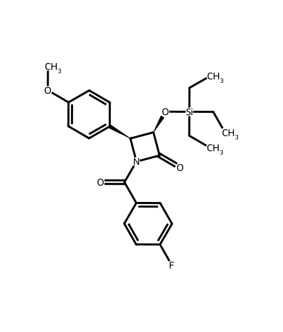 CC[Si](CC)(CC)O[C@H]1C(=O)N(C(=O)c2ccc(F)cc2)[C@H]1c1ccc(OC)cc1